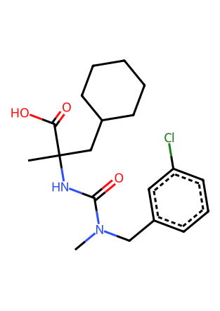 CN(Cc1cccc(Cl)c1)C(=O)NC(C)(CC1CCCCC1)C(=O)O